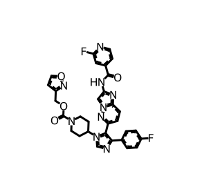 O=C(Nc1cn2nc(-c3c(-c4ccc(F)cc4)ncn3C3CCN(C(=O)OCc4ccon4)CC3)ccc2n1)c1ccnc(F)c1